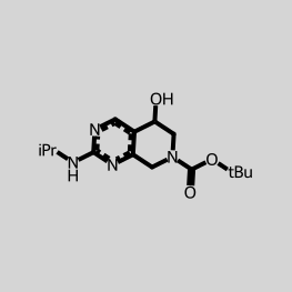 CC(C)Nc1ncc2c(n1)CN(C(=O)OC(C)(C)C)CC2O